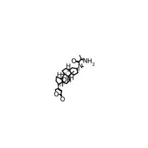 C[C@@H](N)C(=O)N(C)[C@H]1CC[C@@]2(C)[C@H](CC[C@@H]3[C@@H]2CC[C@]2(C)[C@@H](C4=CC(=O)OC4)CC[C@]32O)C1